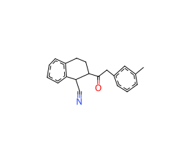 Cc1cccc(CC(=O)C2CCc3ccccc3C2C#N)c1